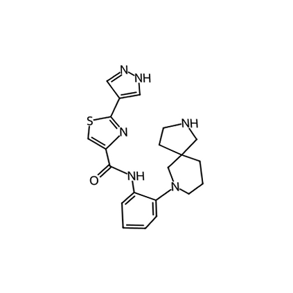 O=C(Nc1ccccc1N1CCCC2(CCNC2)C1)c1csc(-c2cn[nH]c2)n1